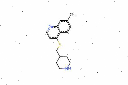 FC(F)(F)c1ccc2c(SCC3CCNCC3)ccnc2c1